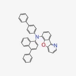 c1ccc(-c2ccc(N(c3ccc(-c4ccccc4)c4ccccc34)c3cccc4c3oc3cccnc34)cc2)cc1